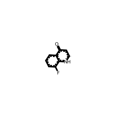 O=c1c[c][nH]c2c(F)cccc12